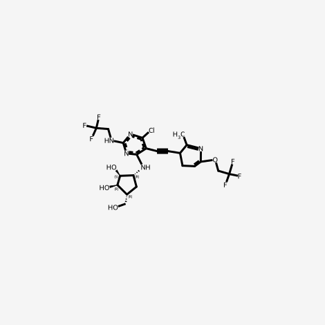 CC1=NC(OCC(F)(F)F)=CCC1C#Cc1c(Cl)nc(NCC(F)(F)F)nc1N[C@@H]1C[C@H](CO)[C@@H](O)[C@H]1O